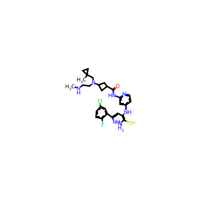 CNCCN(CC1(C)CC1)C1CC(C(=O)Nc2cc(NC(/C=C(\N)c3cc(Cl)ccc3F)=C(/N)S)ccn2)C1